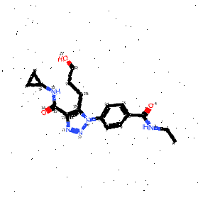 CCNC(=O)c1ccc(-n2nnc(C(=O)NC3CC3)c2CCCO)cc1